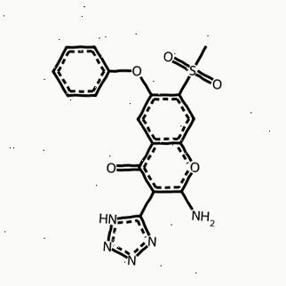 CS(=O)(=O)c1cc2oc(N)c(-c3nnn[nH]3)c(=O)c2cc1Oc1ccccc1